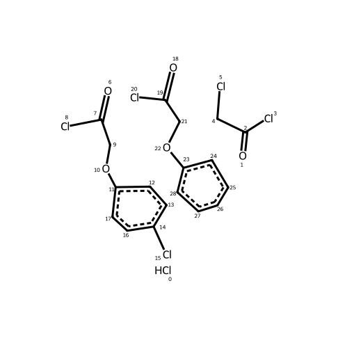 Cl.O=C(Cl)CCl.O=C(Cl)COc1ccc(Cl)cc1.O=C(Cl)COc1ccccc1